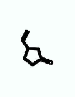 C=CC1C[CH]C(=O)C1